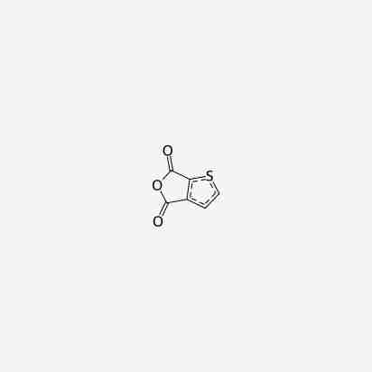 O=C1OC(=O)c2sccc21